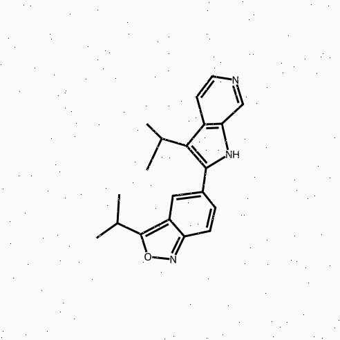 CC(C)c1onc2ccc(-c3[nH]c4cnccc4c3C(C)C)cc12